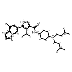 Cc1cc(-c2[nH]nc(C(=O)NC3CCC(N(CCC(C)C)CCC(C)C)CC3)c2C(C)C)cn2ncnc12